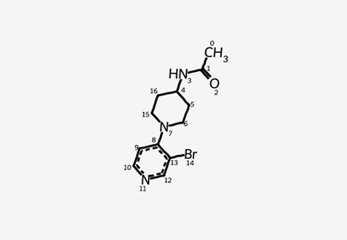 CC(=O)NC1CCN(c2ccncc2Br)CC1